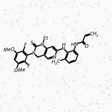 C=CC(=O)Nc1cccc(C)c1Nc1cc2c(cn1)CN(c1c(F)c(OC)cc(OC)c1F)C(=S)N2CC